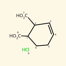 Cl.O=C(O)C1C=CCCC1C(=O)O